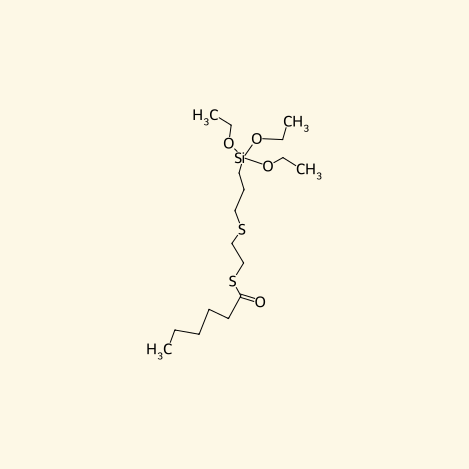 CCCCCC(=O)SCCSCCC[Si](OCC)(OCC)OCC